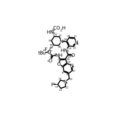 CC(C)(C)OC(=O)Nc1oc2cc(CN3CC[C@@H](F)C3)cnc2c1C(=O)Nc1cnccc1N1C[C@@H](NC(=O)O)C[C@@H](C(F)(F)F)C1